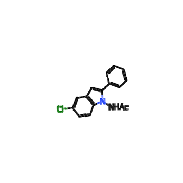 CC(=O)Nn1c(-c2ccccc2)cc2cc(Cl)ccc21